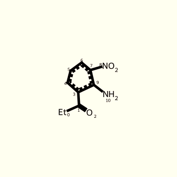 CCC(=O)c1cccc([N+](=O)[O-])c1N